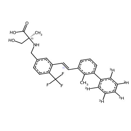 [2H]c1c([2H])c([2H])c(-c2cccc(/C=C/c3cc(CN[C@@](C)(CO)C(=O)O)ccc3C(F)(F)F)c2C)c([2H])c1[2H]